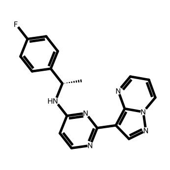 C[C@H](Nc1ccnc(-c2cnn3cccnc23)n1)c1ccc(F)cc1